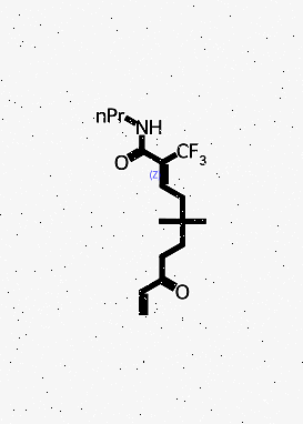 C=CC(=O)CCC(C)(C)C/C=C(/C(=O)NCCC)C(F)(F)F